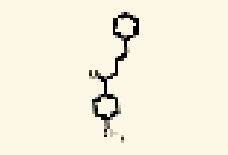 Cc1ccc(C(=O)CC=Cc2ccccc2)cc1